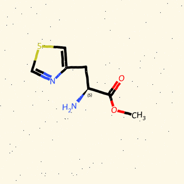 COC(=O)[C@@H](N)Cc1cscn1